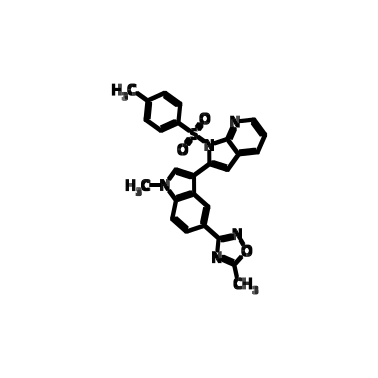 Cc1ccc(S(=O)(=O)n2c(-c3cn(C)c4ccc(-c5noc(C)n5)cc34)cc3cccnc32)cc1